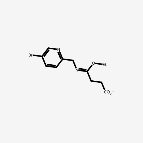 CCOC(CCC(=O)O)=NCc1ccc(Br)cn1